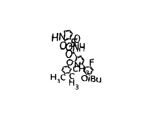 Cc1ccc(Oc2nc(-c3cc(OCC(C)C)ccc3F)ccc2C(=O)NS(=O)(=O)c2ccc[nH]c2=O)c(C)c1C